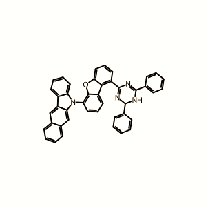 c1ccc(C2=NC(c3cccc4oc5c(-n6c7ccccc7c7cc8ccccc8cc76)cccc5c34)=NC(c3ccccc3)N2)cc1